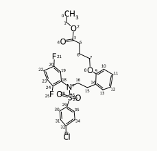 CCOC(=O)CCCOc1ccccc1CCN(c1cc(F)ccc1F)S(=O)(=O)c1ccc(Cl)cc1